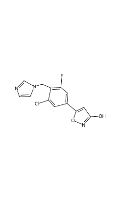 Oc1cc(-c2cc(F)c(Cn3ccnc3)c(Cl)c2)on1